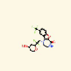 O=C1NCCN(CC(F)(F)C2CC(O)CCO2)c2c1oc1ccc(C(F)(F)F)cc21